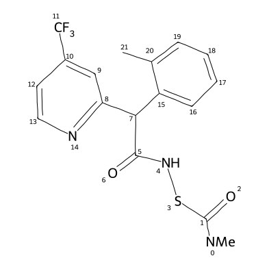 CNC(=O)SNC(=O)C(c1cc(C(F)(F)F)ccn1)c1ccccc1C